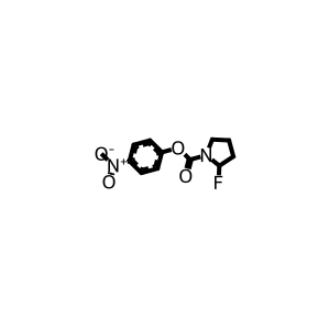 O=C(Oc1ccc([N+](=O)[O-])cc1)N1CCCC1F